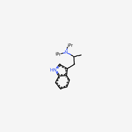 CC(C)N(C(C)C)C(C)Cc1c[nH]c2ccccc12